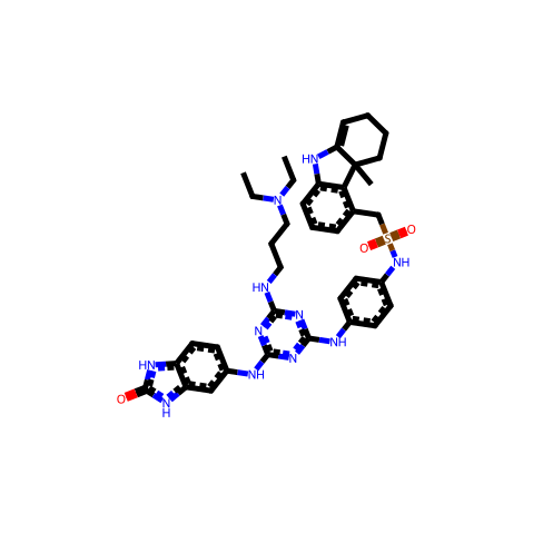 CCN(CC)CCCNc1nc(Nc2ccc(NS(=O)(=O)Cc3cccc4c3C3(C)CCCC=C3N4)cc2)nc(Nc2ccc3[nH]c(=O)[nH]c3c2)n1